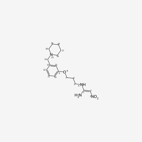 NC(=C[N+](=O)[O-])NCCCOc1cccc(CN2CCCCC2)c1